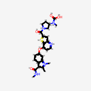 CNC(=O)c1c(C)n(C)c2cc(Oc3ccnc4cc(C(=O)N5CC[C@@H](N(C)C(=O)O)C5)sc34)ccc12